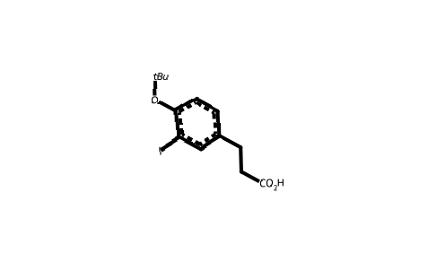 CC(C)(C)Oc1ccc(CCC(=O)O)cc1I